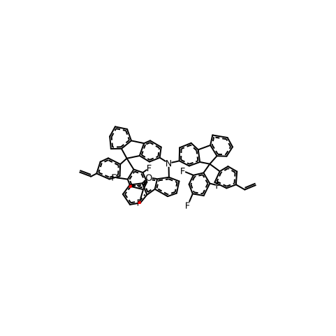 C=Cc1ccc(C2(c3c(F)cc(F)cc3F)c3ccccc3-c3ccc(N(c4ccc5c(c4)C(c4ccc(C=C)cc4)(c4c(F)cc(F)cc4F)c4ccccc4-5)c4cccc5c4oc4ccccc45)cc32)cc1